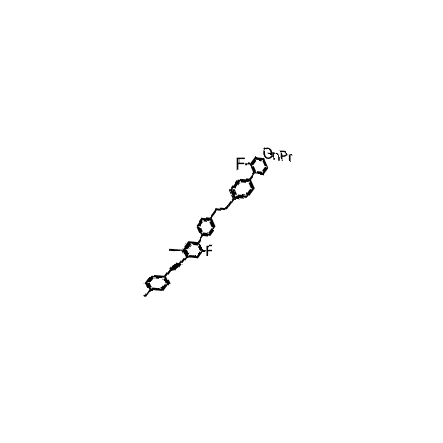 CCCOc1ccc(-c2ccc(CCc3ccc(-c4cc(C)c(C#Cc5ccc(C)cc5)cc4F)cc3)cc2)c(F)c1